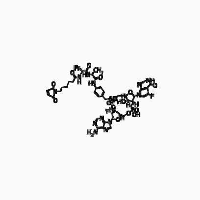 CC(C)[C@H](NC(=O)CCCCCN1C(=O)C=CC1=O)C(=O)N[C@@H](C)C(=O)Nc1ccc(CSP2(=O)OC[C@H]3O[C@@H](n4cc(F)c5c(=O)[nH]cnc54)[C@H](CP(=O)(O)OC[C@H]4O[C@@H](n5cnc6c(N)ncnc65)[C@H](F)[C@@H]4O2)[C@@H]3O)cc1